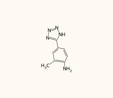 Cc1cc(-c2nnn[nH]2)ccc1N